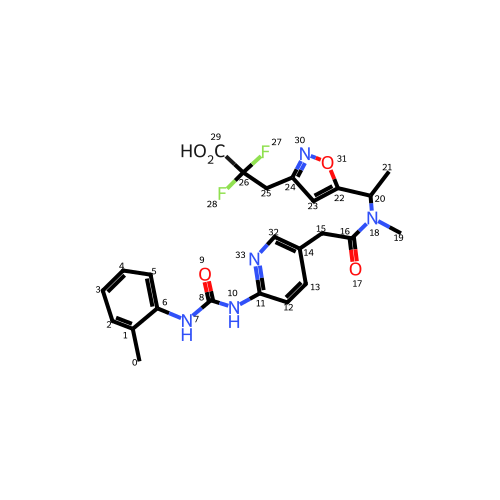 Cc1ccccc1NC(=O)Nc1ccc(CC(=O)N(C)C(C)c2cc(CC(F)(F)C(=O)O)no2)cn1